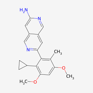 COc1cc(OC)c(C2CC2)c(-c2cc3cnc(N)cc3cn2)c1C